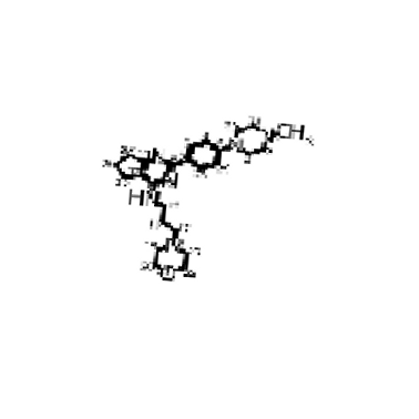 CN1CCN(c2ccc(-c3nc4c(c(NCCCN5CCOCC5)n3)CCC4)cc2)CC1